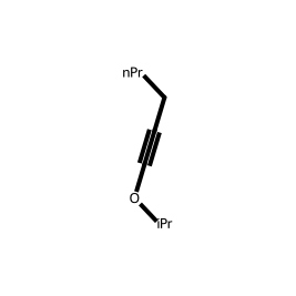 CCCCC#COC(C)C